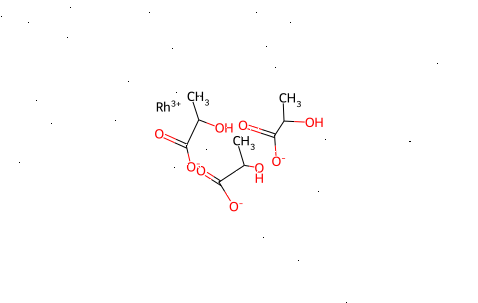 CC(O)C(=O)[O-].CC(O)C(=O)[O-].CC(O)C(=O)[O-].[Rh+3]